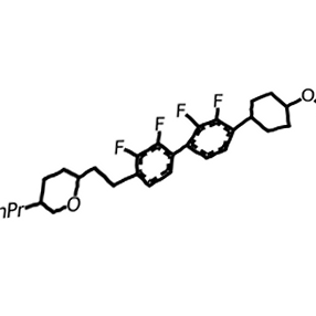 CCCC1CCC(CCc2ccc(-c3ccc(C4CCC(OCC)CC4)c(F)c3F)c(F)c2F)OC1